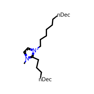 CCCCCCCCCCCCCCCC[n+]1ccn(C)c1CCCCCCCCCCCCC